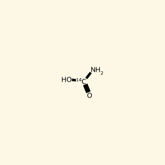 N[14C](=O)O